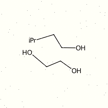 CC(C)CCO.OCCO